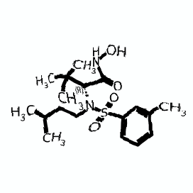 Cc1cccc(S(=O)(=O)N(CCC(C)C)[C@@H](C(=O)NO)C(C)(C)C)c1